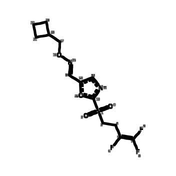 O=S(=O)(CCC(F)=C(F)F)c1ncc(C=NOCC2CCC2)o1